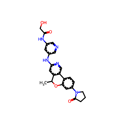 CC1Oc2cc(N3CCCC3=O)ccc2-c2cnc(Nc3cncc(NC(=O)CO)c3)cc21